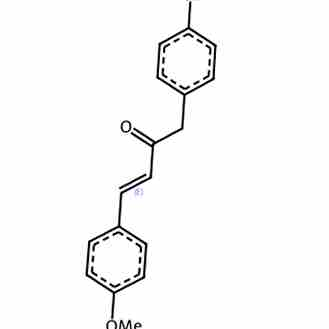 CNc1ccc(CC(=O)/C=C/c2ccc(OC)cc2)cc1